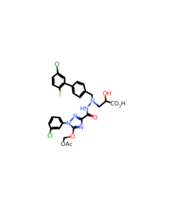 CC(=O)OCOc1nc(C(=O)NN(Cc2ccc(-c3cc(Cl)ccc3F)cc2)CC(O)C(=O)O)nn1-c1cccc(Cl)c1